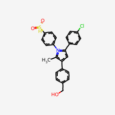 Cc1c(-c2ccc(CO)cc2)cc(-c2ccc(Cl)cc2)n1-c1ccc([SH](=O)=O)cc1